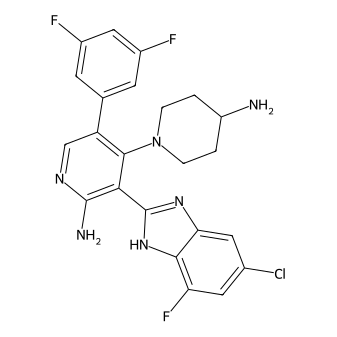 Nc1ncc(-c2cc(F)cc(F)c2)c(N2CCC(N)CC2)c1-c1nc2cc(Cl)cc(F)c2[nH]1